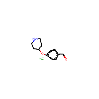 Cl.O=Cc1ccc(OC2CCNCC2)cc1